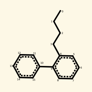 CCCCc1ccccc1-c1[c]cccc1